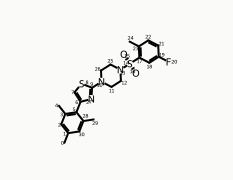 Cc1cc(C)c(-c2csc(N3CCN(S(=O)(=O)c4cc(F)ccc4C)CC3)n2)c(C)c1